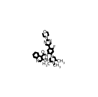 CC1CN(c2cc(F)c(-c3cnc(N4CCOCC4)nc3)cc2NC(=O)c2c(O)cnc3ccccc23)CC(C)N1C